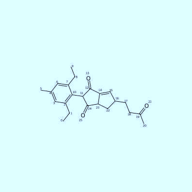 CCc1cc(C)cc(CC)c1C1C(=O)C2=CC(CCC(C)=O)CC2C1=O